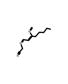 C=N/C(=C\C=N/CC#N)CCCCC